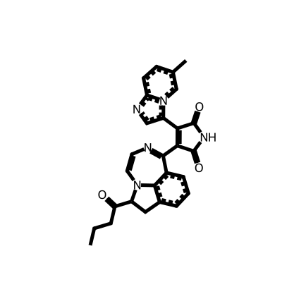 CCCC(=O)C1Cc2cccc3c2N1C=CN=C3C1=C(c2cnc3ccc(C)cn23)C(=O)NC1=O